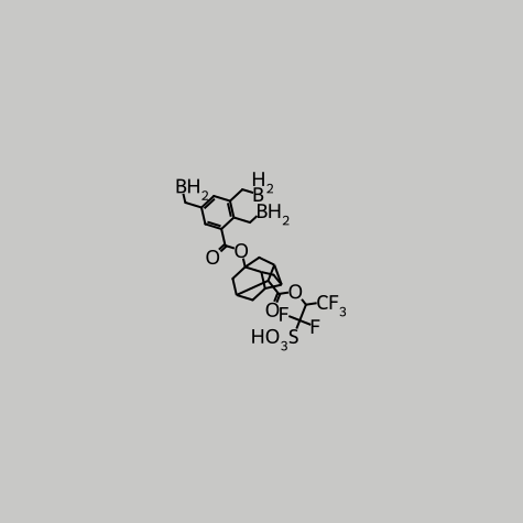 BCc1cc(CB)c(CB)c(C(=O)OC23CC4CC5C(CC52)C(C3)C4C(=O)OC(C(F)(F)F)C(F)(F)S(=O)(=O)O)c1